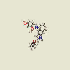 COc1ccc(CN=C2CCCCc3cc4c(cc32)cc(CO[Si](C)(C)C(C)(C)C)n4C)c(OC)c1